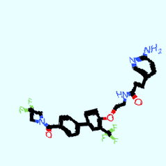 Nc1ccc(C=CC(=O)NCCOc2ccc(-c3ccc(C(=O)N4CC(F)(F)C4)cc3)cc2C(F)(F)F)cn1